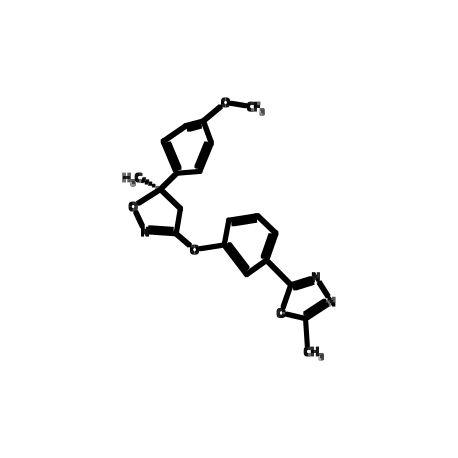 Cc1nnc(-c2cccc(OC3=NO[C@@](C)(c4ccc(OC(F)(F)F)cc4)C3)c2)o1